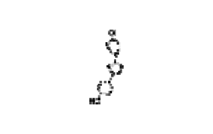 Oc1ccc(-c2ccc(-c3ccc(O)cc3)s2)cc1